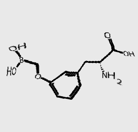 N[C@H](Cc1cccc(OCB(O)O)c1)C(=O)O